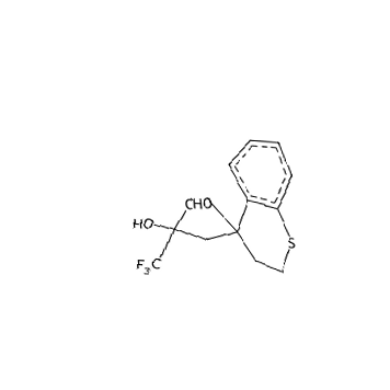 CC1(CC(O)(C=O)C(F)(F)F)CCSc2ccccc21